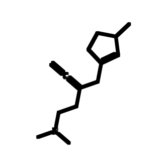 C=C=C(CCN(C)C)CC1=CC(C)CC1